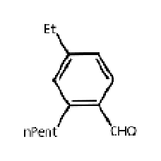 CCCCCc1cc(CC)ccc1C=O